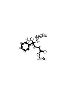 CCCCOC(=O)CCC(C)(N=NC(C)(C)C)c1ccccc1